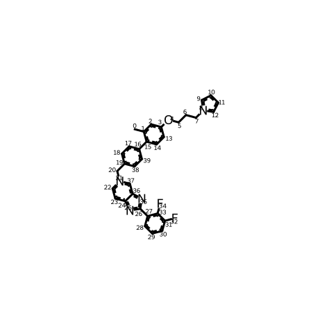 Cc1cc(OCCCn2cccc2)ccc1-c1ccc(Cn2ccc3nc(-c4cccc(F)c4F)nc-3c2)cc1